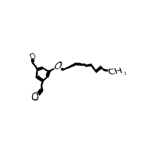 CCCCCCCOc1cc(C=O)cc(C=O)c1